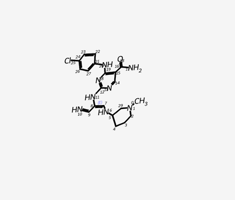 CN1CCCC(N/C=C(\C=N)Nc2ncc(C(N)=O)c(Nc3ccc(Cl)cc3)n2)C1